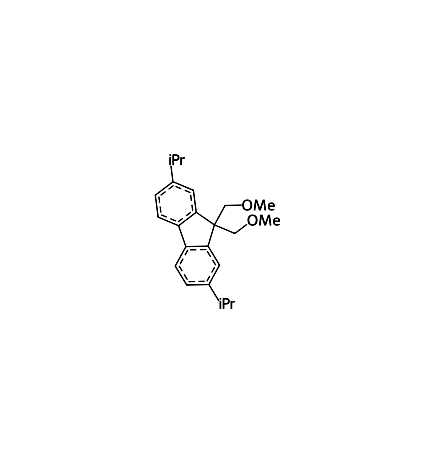 COCC1(COC)c2cc(C(C)C)ccc2-c2ccc(C(C)C)cc21